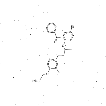 CCOC(=O)COc1ccc(CCC(C)Oc2ccc(CC)cc2C(=O)c2ccccc2)cc1C